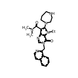 CCn1c(N2CCCNCC2)c(C(=O)N(C)C)c2ncn(Cc3nccc4ccccc34)c(=O)c21